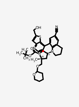 CC(C)(C)OC(=O)N1C[C@@H](N2CCCc3cc(C#N)cc(-c4ccnc5cc(CO)sc45)c32)C[C@]1(C)COC1CCCCO1